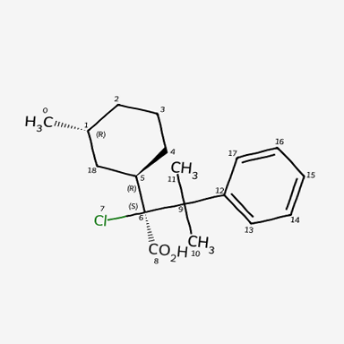 C[C@@H]1CCC[C@@H]([C@@](Cl)(C(=O)O)C(C)(C)c2ccccc2)C1